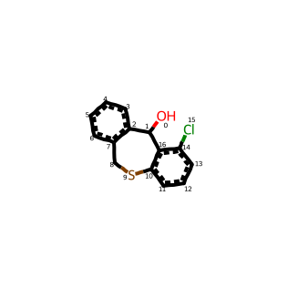 OC1c2ccccc2CSc2cccc(Cl)c21